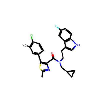 Cc1nc(C(=O)N(CCc2c[nH]c3ccc(F)cc23)CC2CC2)c(-c2ccc(Cl)c(C#N)c2)s1